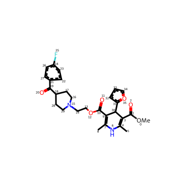 COC(=O)C1=C(C)NC(C)=C(C(=O)OCCN2CCC(C(=O)c3ccc(F)cc3)CC2)C1c1ccco1